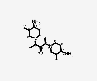 CC1CN(C(C)C(=O)C(C)N2CCC(N)C(C)C2)CCC1N